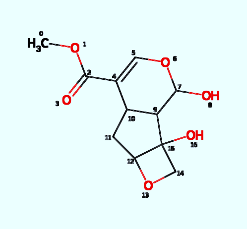 COC(=O)C1=COC(O)C2C1CC1OCC12O